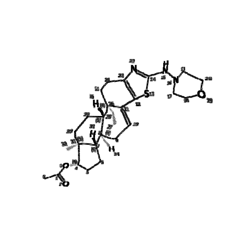 CC(=O)O[C@H]1CC[C@H]2[C@@H]3CC=C4c5sc(NN6CCOCC6)nc5CC[C@]4(C)[C@H]3CC[C@]12C